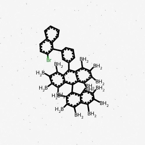 Bc1c(B)c(B)c2c(-c3c4c(B)c(B)c(B)c(B)c4c(-c4cccc(-c5c(Br)ccc6ccccc56)c4)c4c(B)c(B)c(B)c(B)c34)c(B)c(B)c(B)c2c1B